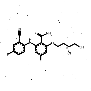 N#Cc1cc(I)ccc1Nc1cc(F)cc(OCC[C@@H](O)CO)c1C(N)=O